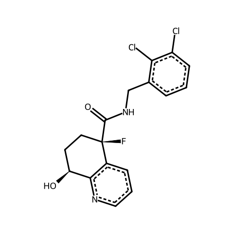 O=C(NCc1cccc(Cl)c1Cl)[C@@]1(F)CC[C@H](O)c2ncccc21